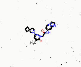 Cc1cc(N2CCC3(CCC3)C2)nn(CC(=O)Nc2ccn3ccnc3c2)c1=O